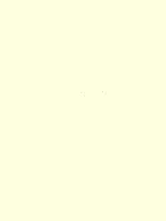 O=C(O)c1nn(Cc2ccc(OC(F)F)cc2)c2ccc(F)cc12